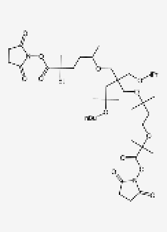 CCCCOC(C)(C)CC(COC(C)C)(COC(C)CCC(C)(CC)C(=O)ON1C(=O)CCC1=O)COC(C)(C)CCOC(C)(C)C(=O)ON1C(=O)CCC1=O